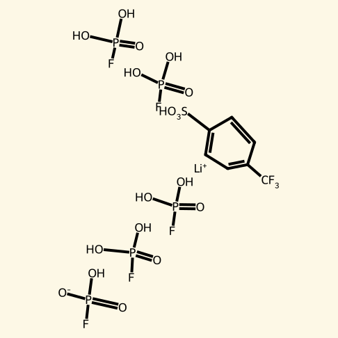 O=P(O)(O)F.O=P(O)(O)F.O=P(O)(O)F.O=P(O)(O)F.O=P([O-])(O)F.O=S(=O)(O)c1ccc(C(F)(F)F)cc1.[Li+]